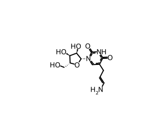 N/C=C/Cc1cn([C@@H]2O[C@H](CO)[C@@H](O)[C@H]2O)c(=O)[nH]c1=O